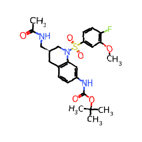 COc1cc(S(=O)(=O)N2C[C@H](CNC(C)=O)Cc3ccc(NC(=O)OC(C)(C)C)cc32)ccc1F